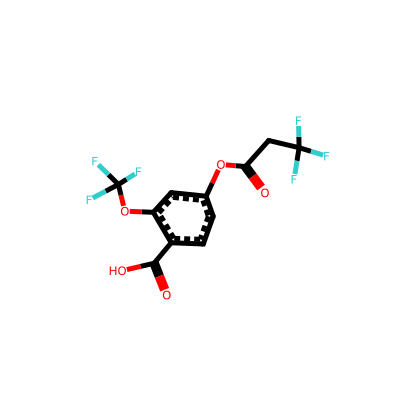 O=C(CC(F)(F)F)Oc1ccc(C(=O)O)c(OC(F)(F)F)c1